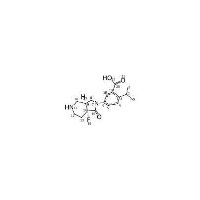 CC(C)c1ccc(N2C[C@@H]3CNCC[C@]3(F)C2=O)cc1C(=O)O